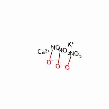 O=[N+]([O-])[O-].O=[N+]([O-])[O-].O=[N+]([O-])[O-].[Ca+2].[K+]